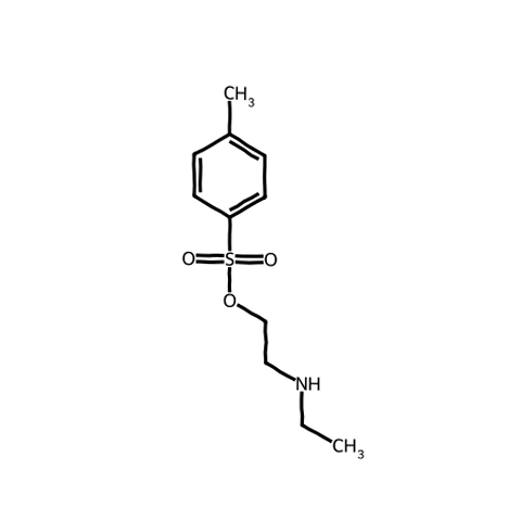 CCNCCOS(=O)(=O)c1ccc(C)cc1